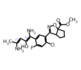 COC(=O)C12CCCC1C(c1cc(/C(N)=C(O)/C=C(/C)N)c(F)cc1Cl)=NO2